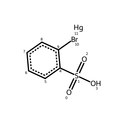 O=S(=O)(O)c1ccccc1Br.[Hg]